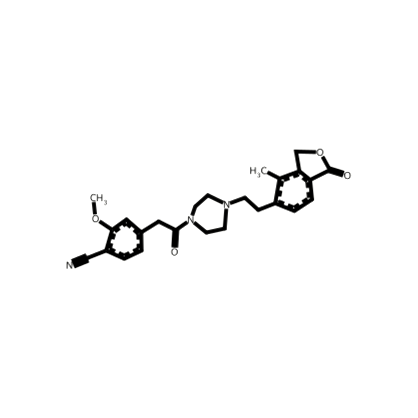 COc1cc(CC(=O)N2CCN(CCc3ccc4c(c3C)COC4=O)CC2)ccc1C#N